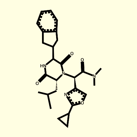 CC(C)C[C@@H]1C(=O)NC(C2Cc3ccccc3C2)C(=O)N1[C@@H](C(=O)N(C)C)c1coc(C2CC2)n1